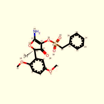 [2H][C@]1(c2cc(OC)ccc2OC)OC(N)=C(OS(=O)(=O)Cc2ccccc2)C1=O